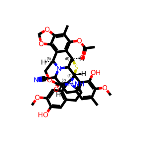 COc1cc2c(cc1O)CCN[C@]21CS[C@@H]2c3c(OC(C)=O)c(C)c4c(c3[C@H](COC1=O)N1C(C#N)[C@H]3Cc5cc(C)c(OC)c(O)c5[C@@H](C21)N3C)OCO4